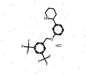 Cl.FC(F)(F)c1cc(COc2cccc(C3CCCCN3)c2)cc(C(F)(F)F)c1